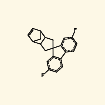 Fc1ccc2c(c1)C1(CC3C4C=CC(C4)C3C1)c1cc(F)ccc1-2